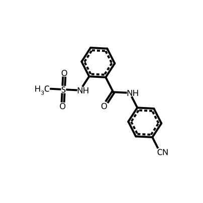 CS(=O)(=O)Nc1ccccc1C(=O)Nc1ccc(C#N)cc1